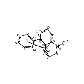 CC1SC2=CCN(Cl)C3=CC=CC(c4ccccc4)C23C1C